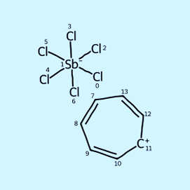 [Cl][Sb-]([Cl])([Cl])([Cl])([Cl])[Cl].c1ccc[cH+]cc1